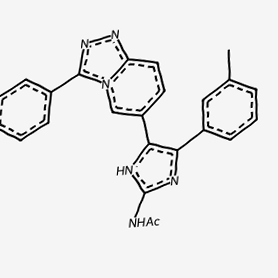 CC(=O)Nc1nc(-c2cccc(C)c2)c(-c2ccc3nnc(-c4ccccc4)n3c2)[nH]1